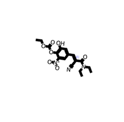 CCOC(=O)Oc1c(O)cc(/C=C(\C#N)C(=O)N(CC)CC)cc1[N+](=O)[O-]